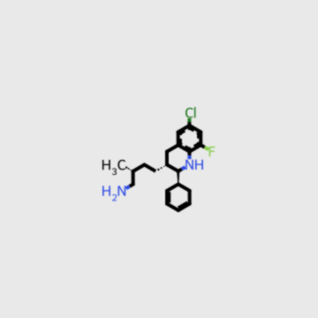 C[C@@H](CN)CC[C@@H]1Cc2cc(Cl)cc(F)c2NC1[C@@H]1C=CC=CC1